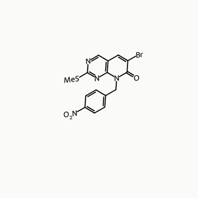 CSc1ncc2cc(Br)c(=O)n(Cc3ccc([N+](=O)[O-])cc3)c2n1